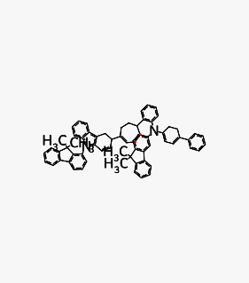 CC1(C)c2ccccc2-c2cc(N(C3=CC=C(c4ccccc4)CC3)c3ccccc3C3C=CC=C(C4C=Cc5c(c6ccccc6n5-c5cccc6c5C(C)(C)c5ccccc5-6)C4)CC3)ccc21